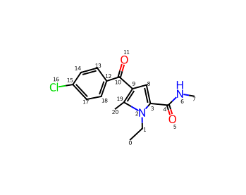 CCn1c(C(=O)NC)cc(C(=O)c2ccc(Cl)cc2)c1C